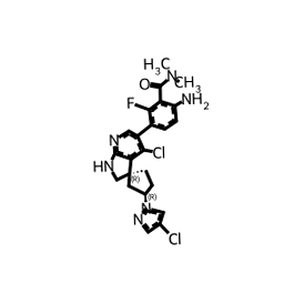 CN(C)C(=O)c1c(N)ccc(-c2cnc3c(c2Cl)[C@]2(CC[C@@H](n4cc(Cl)cn4)C2)CN3)c1F